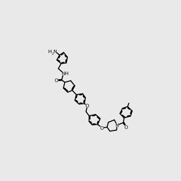 Cc1ccc(C(=O)N2CCC(Oc3ccc(COc4ccc(C5=CCC(C(=O)NCc6cccc(N)c6)C=C5)cc4)cc3)CC2)cc1